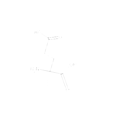 C[C@](N)(CCC(=O)O)C(=O)O